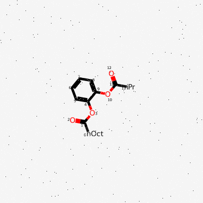 CCCCCCCCC(=O)Oc1ccccc1OC(=O)C(C)C